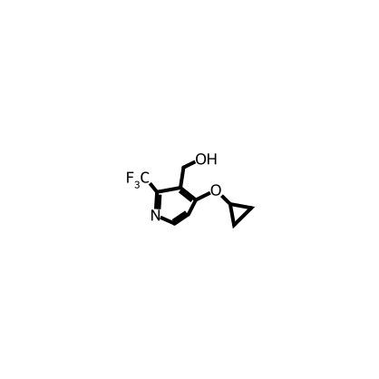 OCc1c(OC2CC2)ccnc1C(F)(F)F